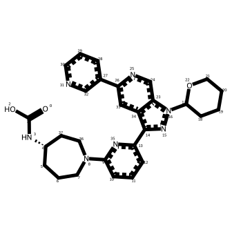 O=C(O)N[C@H]1CCCN(c2cccc(-c3nn(C4CCCCO4)c4cnc(-c5cccnc5)cc34)n2)CC1